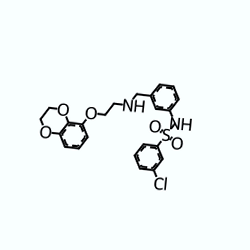 O=S(=O)(Nc1cccc(CNCCOc2cccc3c2OCCO3)c1)c1cccc(Cl)c1